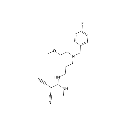 CNC(NCCCN(CCOC)Cc1ccc(F)cc1)C(C#N)C#N